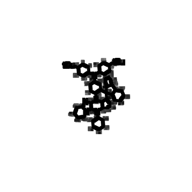 CC(C)(C)c1ccc(N(c2ccc(C(C)(C)C)cc2)c2ccc3c(c2)C2(c4ccccc4-c4ccccc42)c2cccc4c2B3c2nc3ccccn3c2N4c2ccccc2)cc1